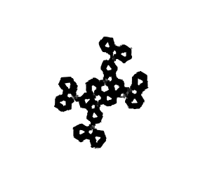 N#Cc1ccc(-n2c3ccc(-n4c5ccccc5c5ccccc54)cc3c3cc(-n4c5ccccc5c5ccccc54)ccc32)c(-c2ncccc2-n2c3ccc(-n4c5ccccc5c5ccccc54)cc3c3cc(-n4c5ccccc5c5ccccc54)ccc32)c1